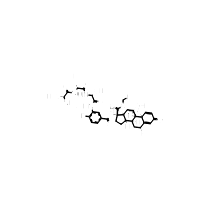 C[C@H](N)C(=O)N[C@@H](C)C(=O)N[C@@H](C)C(=O)Nc1cc(C(=O)O[C@]2(C(=O)SCF)CC[C@H]3[C@@H]4C[C@H](F)C5=CC(=O)C=C[C@]5(C)[C@@]4(F)[C@@H](O)C[C@@]32C)ccc1F